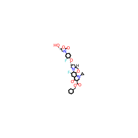 O=C(OCc1ccccc1)c1cn(C2CC2)c2c3c(c(F)cc2c1=O)N1C[C@H](COc2ccc(N4C[C@H](CO)OC4=O)cc2F)C[C@H]1CO3